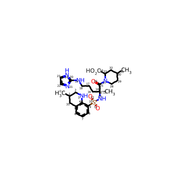 CC1CNc2c(cccc2S(=O)(=O)N[C@@](C)(CCCNc2ncc[nH]2)C(=O)N2CCC(C)CC2C(=O)O)C1